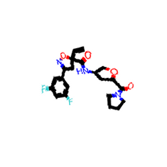 C=CC1(C(=O)NC2COC(C(=O)N3CCCC3)C2)CC(c2cc(F)cc(F)c2)=NO1